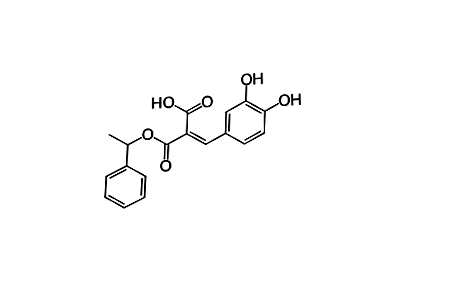 CC(OC(=O)/C(=C/c1ccc(O)c(O)c1)C(=O)O)c1ccccc1